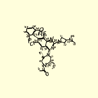 CC(=O)N1C[C@H](C)N(c2nc(N3CC(N(C)C)C3)nc3c(F)c(-c4c(O)cccc4F)c(Cl)cc23)C[C@H]1C